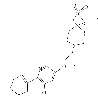 O=S1(=O)CC2(CCN(CCOc3cnc(C4=CCCCC4)c(Cl)c3)CC2)C1